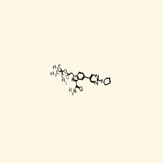 CC(C)(C)OC(=O)Cn1nc(C(N)=O)c2cc(-c3cnc(N4CCCC4)nc3)ccc21